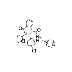 O=C(NCCN1CCOCC1)[C@@H]1c2ccccc2C(=O)N(C2CCCC2)[C@H]1c1ccc(Cl)cc1Cl